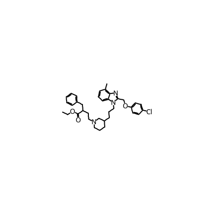 CCOC(=O)C(CCN1CCCC(CCCn2c(COc3ccc(Cl)cc3)nc3c(C)cccc32)C1)Cc1ccccc1